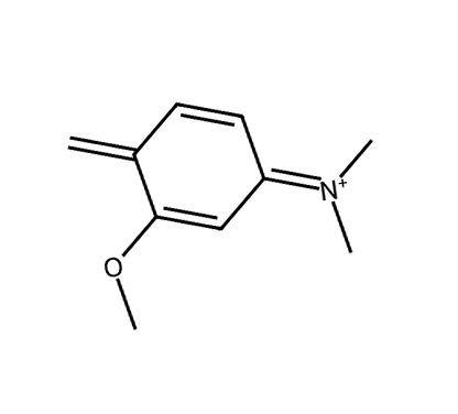 C=C1C=CC(=[N+](C)C)C=C1OC